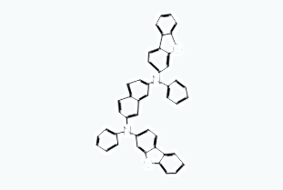 c1ccc(N(c2ccc3ccc(N(c4ccccc4)c4ccc5c(c4)oc4ccccc45)cc3c2)c2ccc3c(c2)oc2ccccc23)cc1